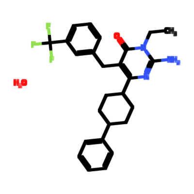 CCn1c(N)nc(C2CCC(c3ccccc3)CC2)c(Cc2cccc(C(F)(F)F)c2)c1=O.O